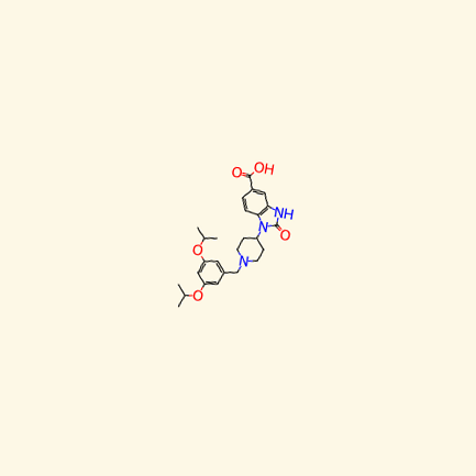 CC(C)Oc1cc(CN2CCC(n3c(=O)[nH]c4cc(C(=O)O)ccc43)CC2)cc(OC(C)C)c1